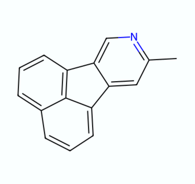 Cc1cc2c(cn1)-c1cccc3cccc-2c13